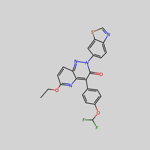 CCOc1ccc2nn(-c3ccc4ncsc4c3)c(=O)c(-c3ccc(OC(F)F)cc3)c2n1